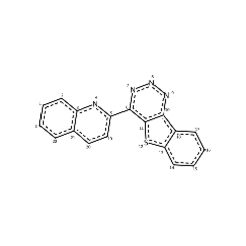 c1ccc2nc(-c3nnnc4c3sc3ccccc34)ccc2c1